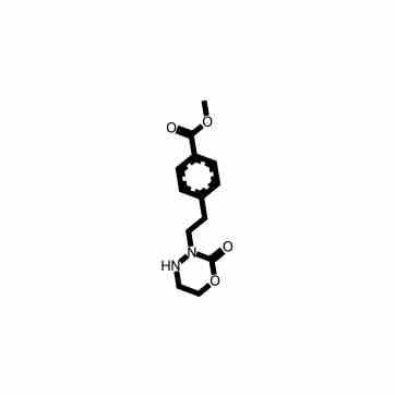 COC(=O)c1ccc(CCN2NCCOC2=O)cc1